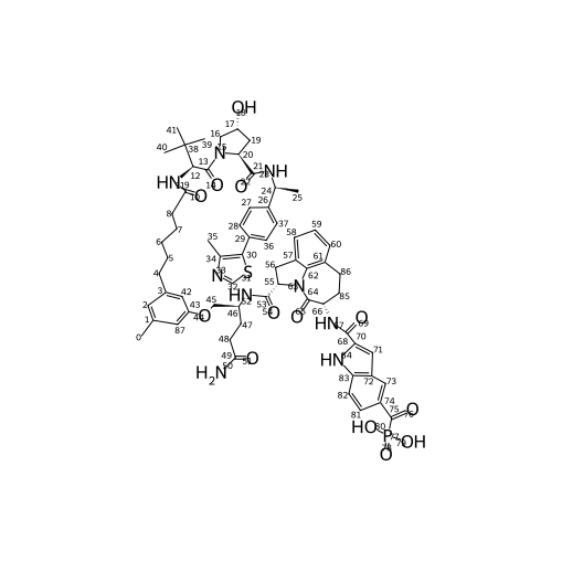 Cc1cc(CCCCCC(=O)N[C@H](C(=O)N2C[C@H](O)C[C@H]2C(=O)N[C@@H](C)c2ccc(-c3scnc3C)cc2)C(C)(C)C)cc(OC[C@H](CCC(N)=O)NC(=O)[C@@H]2Cc3cccc4c3N2C(=O)[C@@H](NC(=O)c2cc3cc(C(=O)P(=O)(O)O)ccc3[nH]2)CC4)c1